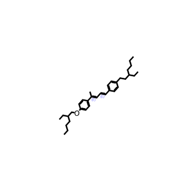 CCCCC(CC)CCc1ccc(/C=C/C=C(\C)c2ccc(OCC(CC)CCCC)cc2)cc1